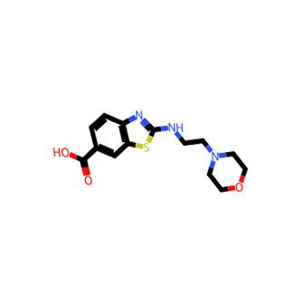 O=C(O)c1ccc2nc(NCCN3CCOCC3)sc2c1